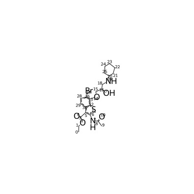 CCOC(=O)c1c(NC(C)=O)sc2c(OCC(O)CNC3CCCCC3)c(Br)ccc12